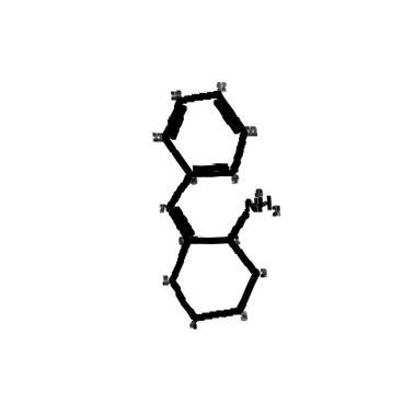 NC1CCCC/C1=C/c1ccccc1